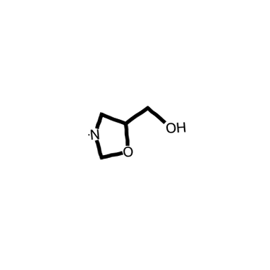 OCC1C[N]CO1